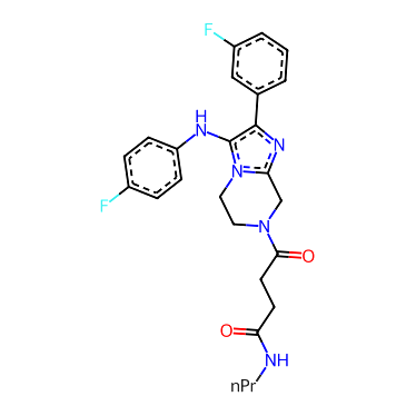 CCCNC(=O)CCC(=O)N1CCn2c(nc(-c3cccc(F)c3)c2Nc2ccc(F)cc2)C1